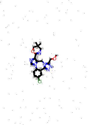 COCc1nnc2n1Cc1c(C3=NCC(C)(C)CO3)ncn1-c1ccc(Cl)cc1-2